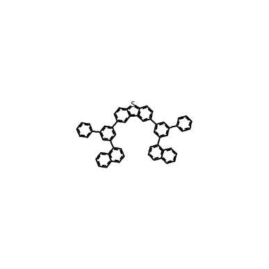 c1ccc(-c2cc(-c3ccc4sc5ccc(-c6cc(-c7ccccc7)cc(-c7cccc8ccccc78)c6)cc5c4c3)cc(-c3cccc4ccccc34)c2)cc1